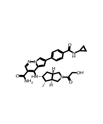 C[C@H]1[C@@H]2CN(C(=O)CO)C[C@H]2C[C@H]1Nc1c(C(N)=O)cnn2cc(-c3ccc(C(=O)NC4CC4)cc3)cc12